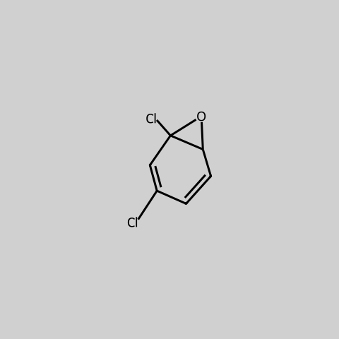 ClC1=CC2(Cl)OC2C=C1